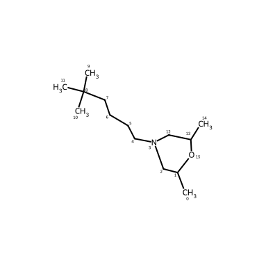 CC1CN(CCCCC(C)(C)C)CC(C)O1